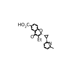 CCc1c([C@@H]2C[C@H]2c2cccc(C)n2)oc2ccc(C(=O)O)cc2c1=O